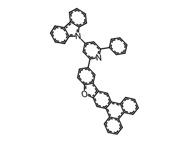 c1ccc(-c2cc(-n3c4ccccc4c4ccccc43)cc(-c3ccc4oc5cc6c7ccccc7c7ccccc7c6cc5c4c3)n2)cc1